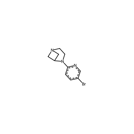 Brc1ccc(N2CCN3CC2C3)nc1